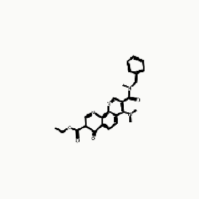 CCOC(=O)C1C=Nc2c(ccc3c(N(C)C)c(C(=O)N(C)Cc4ccccc4)cnc23)C1=O